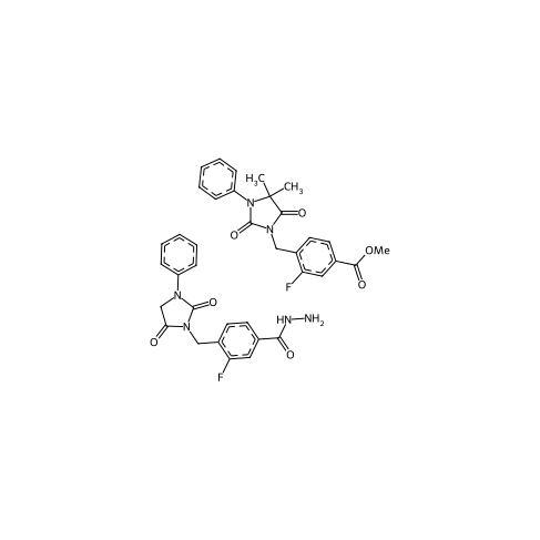 COC(=O)c1ccc(CN2C(=O)N(c3ccccc3)C(C)(C)C2=O)c(F)c1.NNC(=O)c1ccc(CN2C(=O)CN(c3ccccc3)C2=O)c(F)c1